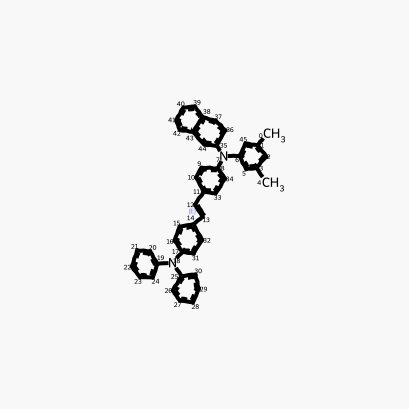 Cc1cc(C)cc(N(c2ccc(/C=C/c3ccc(N(c4ccccc4)c4ccccc4)cc3)cc2)c2ccc3ccccc3c2)c1